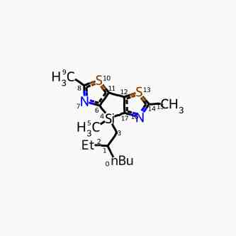 CCCCC(CC)C[Si]1(C)c2nc(C)sc2-c2sc(C)nc21